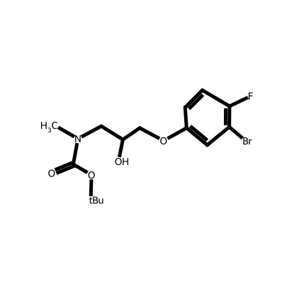 CN(CC(O)COc1ccc(F)c(Br)c1)C(=O)OC(C)(C)C